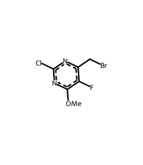 COc1nc(Cl)nc(CBr)c1F